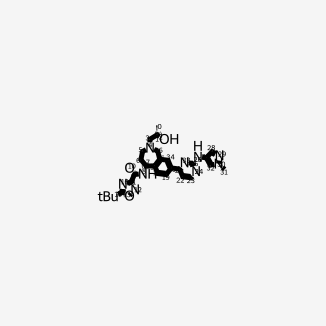 C[C@H](O)CN1CC[C@H](NC(=O)c2noc(C(C)(C)C)n2)c2ccc(-c3ccnc(Nc4cnn(C)c4)n3)cc2C1